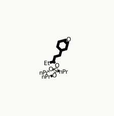 CCCO[Si](CCC)(OCCC)OC(CC)CCC1CCC2OC2C1